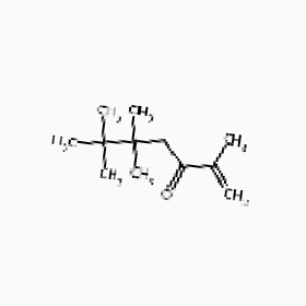 C=C(C)C(=O)CC(C)(C)C(C)(C)C